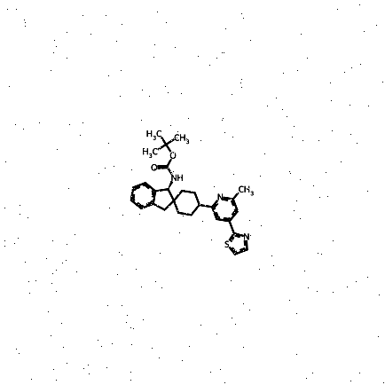 Cc1cc(-c2nccs2)cc(C2CCC3(CC2)Cc2ccccc2[C@H]3NC(=O)OC(C)(C)C)n1